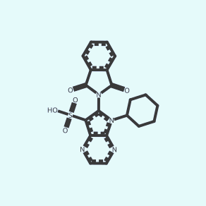 O=C1c2ccccc2C(=O)N1c1c(S(=O)(=O)O)c2nccnc2n1C1CCCCC1